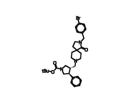 CC(C)(C)OC(=O)N1C[C@H](CN2CCC3(CC2)CCN(Cc2ccc(Br)cc2)C3=O)[C@@H](c2ccccc2)C1